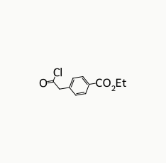 CCOC(=O)c1ccc(CC(=O)Cl)cc1